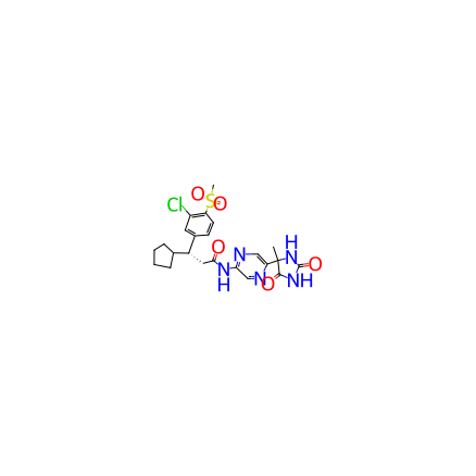 CC1(c2cnc(NC(=O)C[C@@H](c3ccc(S(C)(=O)=O)c(Cl)c3)C3CCCC3)cn2)NC(=O)NC1=O